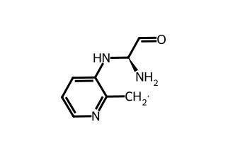 [CH2]c1ncccc1N[C@H](N)C=O